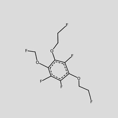 FCCOc1c(F)c(F)c(OCF)c(OCCF)c1F